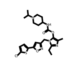 CCc1nc(C)c(OC(=O)NC2CCN(C(C)C)CC2)n1Cc1cc(-c2ccc(Cl)s2)on1